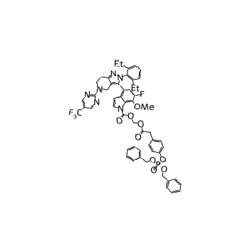 CCc1cccc(CC)c1-n1nc2c(c1-c1cc(F)c(OC)c3c1ccn3C(=O)OCOC(=O)Cc1ccc(OP(=O)(OCc3ccccc3)OCc3ccccc3)cc1)CN(c1ncc(C(F)(F)F)cn1)CC2